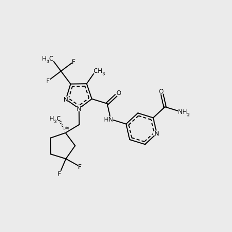 Cc1c(C(C)(F)F)nn(C[C@]2(C)CCC(F)(F)C2)c1C(=O)Nc1ccnc(C(N)=O)c1